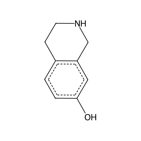 Oc1ccc2c(c1)CNCC2